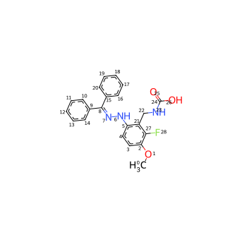 COc1ccc(NN=C(c2ccccc2)c2ccccc2)c(CNC(=O)O)c1F